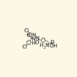 NC(=NC(=O)c1ccc(CC(N)C(=O)O)cc1)NC(c1ccc(Cl)cc1)c1ccc(Cl)cc1